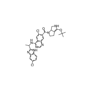 CC(Nc1ncnc2cc(C(=O)N3CCC4=C(OC(C)(C)C)NCC43)c(Cl)cc12)c1nc2cc(Cl)ccc2[nH]1